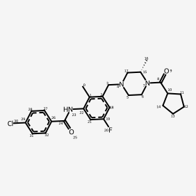 Cc1c(CN2CCN(C(=O)C3CCCC3)[C@@H](C)C2)cc(F)cc1NC(=O)c1ccc(Cl)cc1